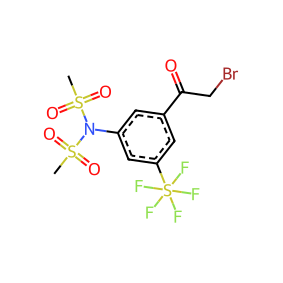 CS(=O)(=O)N(c1cc(C(=O)CBr)cc(S(F)(F)(F)(F)F)c1)S(C)(=O)=O